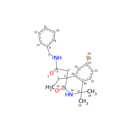 CCC1(CC(=O)NCc2ccccc2)C(=O)NC(C)(C)c2ccc(Br)cc21